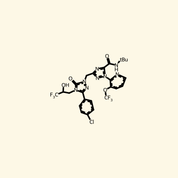 CC(C)(C)NC(=O)c1nc(Cn2nc(-c3ccc(Cl)cc3)n(CC(O)C(F)(F)F)c2=O)nn1-c1ncccc1OC(F)(F)F